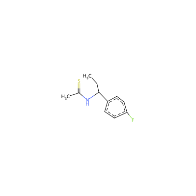 CCC(NC(C)=S)c1ccc(F)cc1